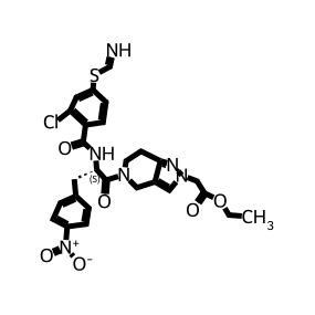 CCOC(=O)Cn1cc2c(n1)CCN(C(=O)[C@H](Cc1ccc([N+](=O)[O-])cc1)NC(=O)c1ccc(SC=N)cc1Cl)C2